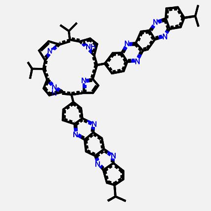 CC(C)c1ccc2nc3cc4nc5cc(-c6c7nc(c(-c8ccc9nc%10cc%11nc%12cc(C(C)C)ccc%12nc%11cc%10nc9c8)c8ccc([nH]8)c(C(C)C)c8nc(c(C(C)C)c9ccc6[nH]9)C=C8)C=C7)ccc5nc4cc3nc2c1